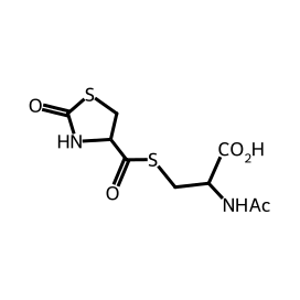 CC(=O)NC(CSC(=O)C1CSC(=O)N1)C(=O)O